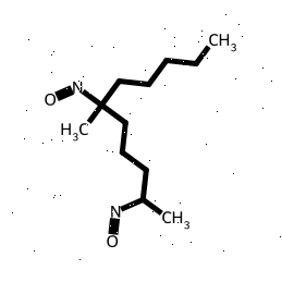 CCCCCC(C)(CCCC(C)N=O)N=O